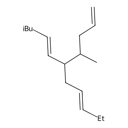 C=CCC(C)C(C=CC(C)CC)CC=CCC